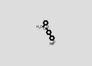 CC(OC(=O)C1CCC(C2CCC(OC#N)CC2)CC1)C1CCCCC1